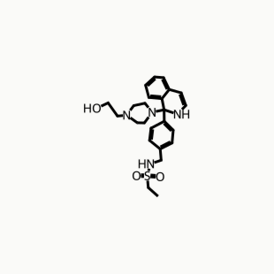 CCS(=O)(=O)NCc1ccc(C2(N3CCN(CCO)CC3)NC=Cc3ccccc32)cc1